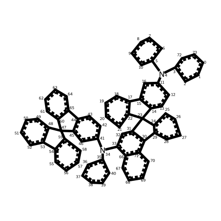 c1ccc(N(c2ccccc2)c2ccc3c(c2)-c2ccccc2C32c3ccccc3-c3c2cc(N(c2ccccc2)c2ccc4c(c2)C2(c5ccccc5-c5ccccc52)c2ccccc2-4)c2ccccc32)cc1